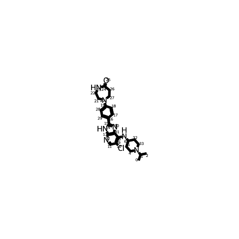 CC(C)N1CCC(Nc2c(Cl)cnc3[nH]c(-c4ccc(N5CCNC(=O)CC5)cc4)nc23)CC1